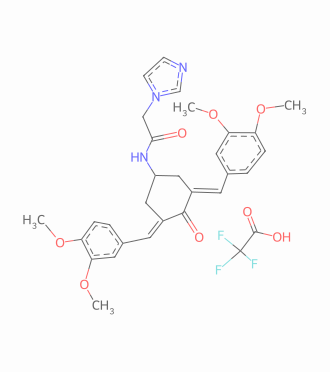 COc1ccc(/C=C2\CC(NC(=O)Cn3ccnc3)C/C(=C\c3ccc(OC)c(OC)c3)C2=O)cc1OC.O=C(O)C(F)(F)F